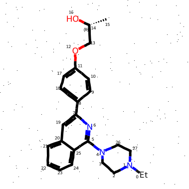 CCN1CCN(c2nc(-c3ccc(OC[C@@H](C)O)cc3)cc3ccccc23)CC1